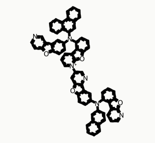 c1ccc2cc(N(c3ccc4oc5cc(-[n+]6cccc7c8c(N(c9ccc%10oc%11ccncc%11c%10c9)c9cc%10ccccc%10c%10ccccc9%10)cccc8oc76)cnc5c4c3)c3cccc4oc5ncccc5c34)ccc2c1